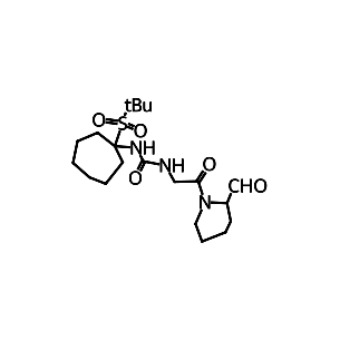 CC(C)(C)S(=O)(=O)C1(NC(=O)NCC(=O)N2CCCCC2C=O)CCCCCC1